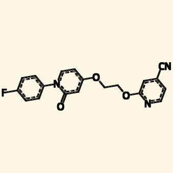 N#Cc1ccnc(OCCOc2ccn(-c3ccc(F)cc3)c(=O)c2)c1